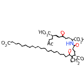 C=C(C(=O)CCCCCCCCCCCCCCCCCCC(=O)O)[C@H](CCC(=O)NC(CCC(=O)/C=C/C(CCC(C)=O)C(=O)O)C(=O)O)C(=O)O